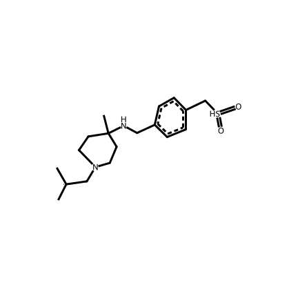 C[C](C)CN1CCC(C)(NCc2ccc(C[SH](=O)=O)cc2)CC1